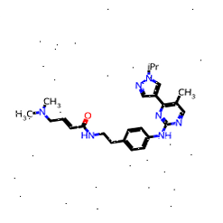 Cc1cnc(Nc2ccc(CCNC(=O)/C=C/CN(C)C)cc2)nc1-c1cnn(C(C)C)c1